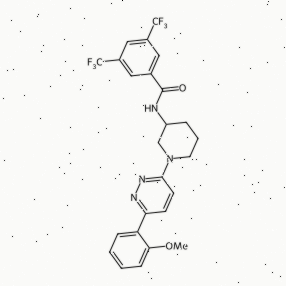 COc1ccccc1-c1ccc(N2CCCC(NC(=O)c3cc(C(F)(F)F)cc(C(F)(F)F)c3)C2)nn1